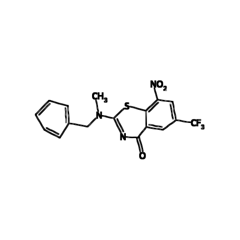 CN(Cc1ccccc1)c1nc(=O)c2cc(C(F)(F)F)cc([N+](=O)[O-])c2s1